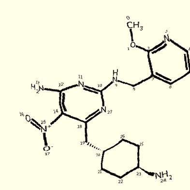 COc1ncccc1CNc1nc(N)c([N+](=O)[O-])c(C[C@H]2CC[C@H](N)CC2)n1